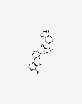 O=C(Nc1cccc(-c2cccc(F)c2F)n1)C1(c2ccc3c(c2)OCO3)CC1